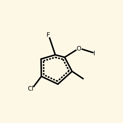 Cc1cc(Cl)cc(F)c1OI